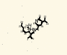 C=C(C)/C(=C/NCc1cnc(C)c(C(C)C)c1)C(/C=C\CCC)NC